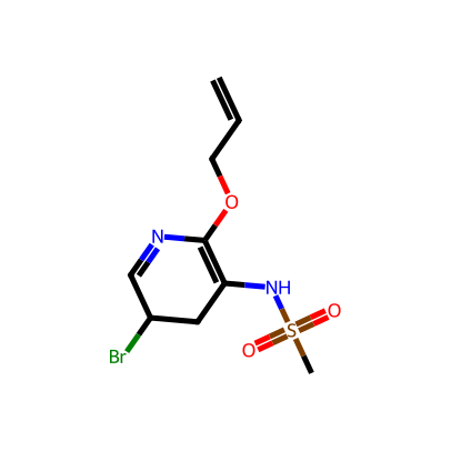 C=CCOC1=C(NS(C)(=O)=O)CC(Br)C=N1